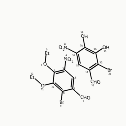 CCOc1c([N+](=O)[O-])cc(C=O)c(Br)c1OCC.O=Cc1cc([N+](=O)[O-])c(O)c(O)c1Br